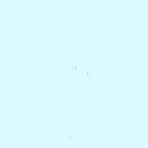 CCOC(=O)C(C)(C)n1cc2cc(Br)cc(C)c2n1